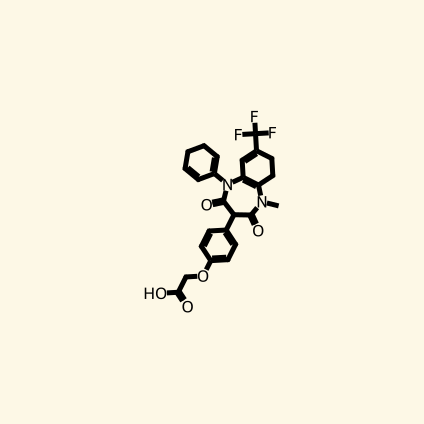 CN1C(=O)C(c2ccc(OCC(=O)O)cc2)C(=O)N(C2=CCCC=C2)C2=C1CCC(C(F)(F)F)=C2